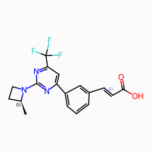 C[C@H]1CCN1c1nc(-c2cccc(/C=C/C(=O)O)c2)cc(C(F)(F)F)n1